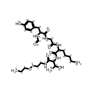 CCCSSCCNC(=O)C(NC(=O)C(CCCCN)NC(=O)CNC(=O)C(Cc1ccc(O)cc1)NC=O)C(C)O